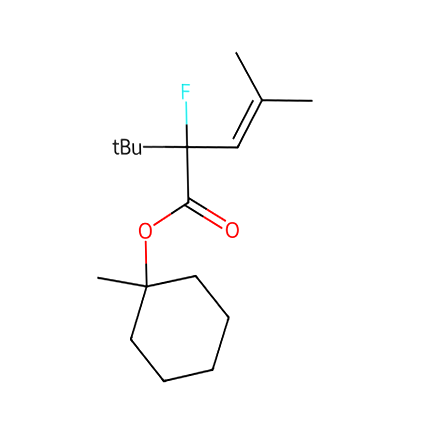 CC(C)=CC(F)(C(=O)OC1(C)CCCCC1)C(C)(C)C